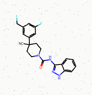 N#CC1(c2cc(F)cc(CF)c2)CCN(C(=O)Nc2n[nH]c3ccccc23)CC1